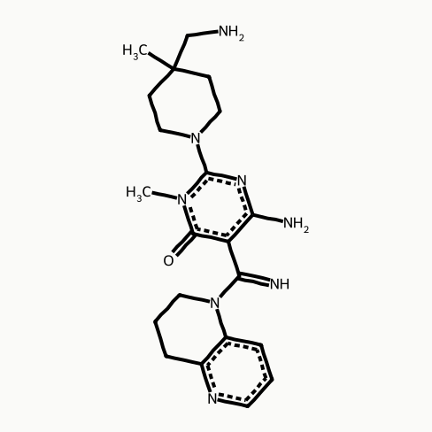 Cn1c(N2CCC(C)(CN)CC2)nc(N)c(C(=N)N2CCCc3ncccc32)c1=O